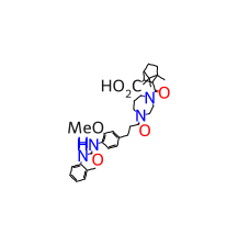 COc1cc(CCC(=O)N2CCCN(C(=O)C3C(C(=O)O)C4CCC3(C)C4(C)C)CC2)ccc1NC(=O)Nc1ccccc1C